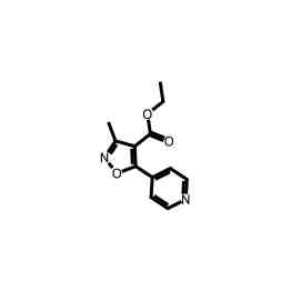 CCOC(=O)c1c(C)noc1-c1ccncc1